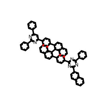 c1ccc(-c2cc(-c3ccc(-c4ccc5ccccc5c4-c4c(-c5ccc(-c6nc(-c7ccccc7)nc(-c7ccc8ccccc8c7)n6)cc5)ccc5ccccc45)cc3)nc(-c3ccccc3)n2)cc1